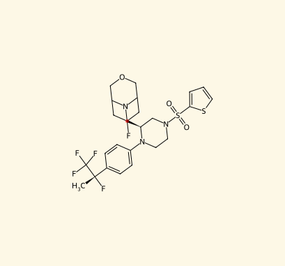 C[C@](F)(c1ccc(N2CCN(S(=O)(=O)c3cccs3)C[C@@H]2CN2C3COCC2CC(F)C3)cc1)C(F)(F)F